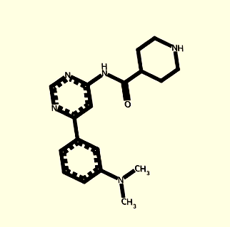 CN(C)c1cccc(-c2cc(NC(=O)C3CCNCC3)ncn2)c1